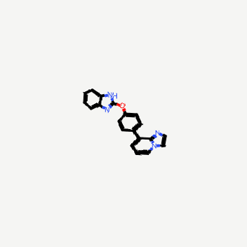 c1ccc2[nH]c(Oc3ccc(-c4cccn5ccnc45)cc3)nc2c1